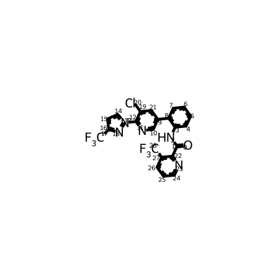 O=C(Nc1ccccc1-c1cnc(-n2ccc(C(F)(F)F)n2)c(Cl)c1)c1ncccc1C(F)(F)F